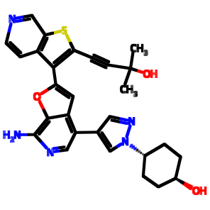 CC(C)(O)C#Cc1sc2cnccc2c1-c1cc2c(-c3cnn([C@H]4CC[C@H](O)CC4)c3)cnc(N)c2o1